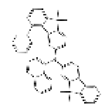 CC1(C)c2ccccc2-c2ccc(N(c3ccc4c(c3)-c3c(-c5ccccc5)cccc3C4(C)C)c3cccc4ccccc34)cc21